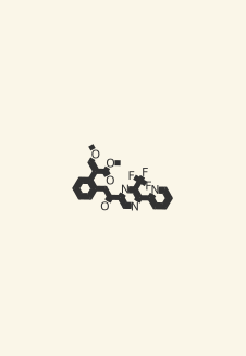 COC=C(C(=O)OC)c1ccccc1CC(=O)c1cnc(-c2ccccn2)c(C(F)(F)F)n1